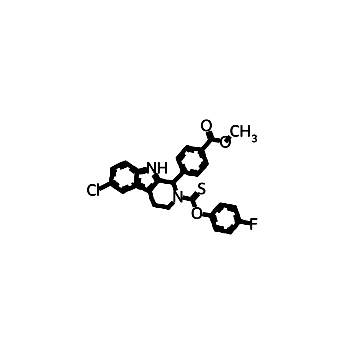 COC(=O)c1ccc(C2c3[nH]c4ccc(Cl)cc4c3CCN2C(=S)Oc2ccc(F)cc2)cc1